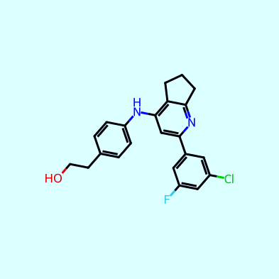 OCCc1ccc(Nc2cc(-c3cc(F)cc(Cl)c3)nc3c2CCC3)cc1